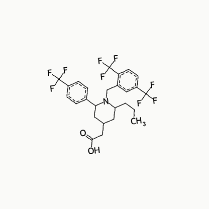 CCCC1CC(CC(=O)O)CC(c2ccc(C(F)(F)F)cc2)N1Cc1cc(C(F)(F)F)ccc1C(F)(F)F